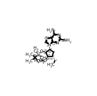 CC[C@H]1C[C@@H](n2cnc3c(N)nc(N)nc32)[C@H](O[Si](C)(C)C(C)(C)C)[C@@H]1OC